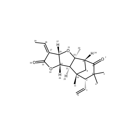 C=C[C@H]1C(C)(C)C(=O)[C@@H]2C[C@@]1(C)[C@H]1[C@@H]3OC(=O)/C(=C\C)[C@@H]3O[C@]12C